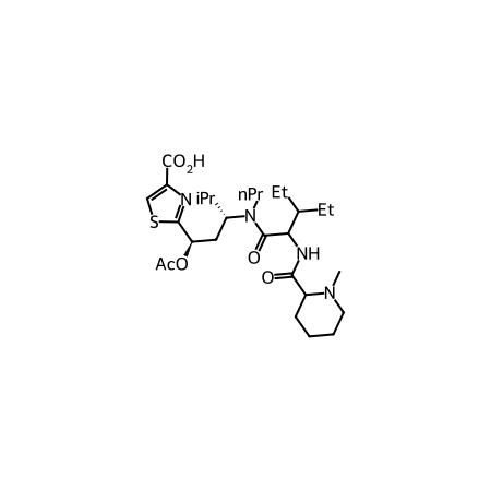 CCCN(C(=O)C(NC(=O)C1CCCCN1C)C(CC)CC)[C@H](C[C@@H](OC(C)=O)c1nc(C(=O)O)cs1)C(C)C